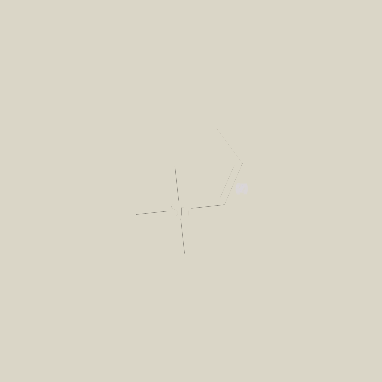 C/C=[CH]\[Sn]([CH3])([CH3])[CH3]